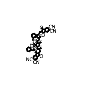 N#Cc1cc2c(cc1C#N)C(=O)C(=Cc1cc3c(s1)-c1sc4c(sc5cc(C=C6C(=O)c7cc(C#N)c(C#N)cc7C6=O)sc54)c1C3(C(=O)OCc1ccccc1)C(=O)OCc1ccccc1)C2=O